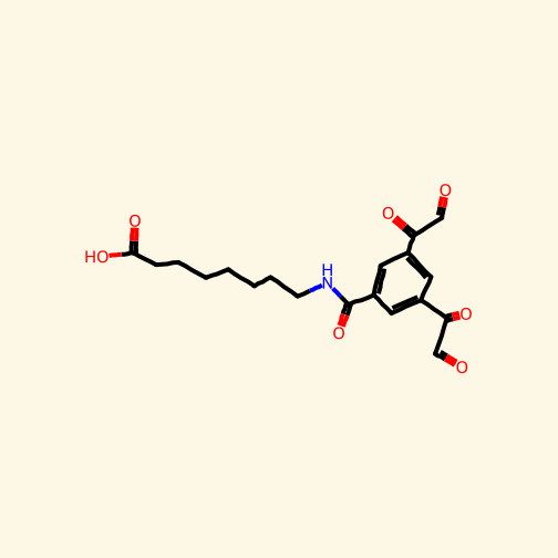 O=CC(=O)c1cc(C(=O)C=O)cc(C(=O)NCCCCCCCC(=O)O)c1